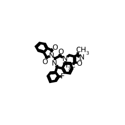 Cc1noc(C)c1CN1C(=O)[C@H](N2C(=O)c3ccccc3C2=O)N=C(c2ccccc2F)c2ccccc21